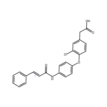 O=C(O)Cc1ccc(Oc2ccc(NC(=O)/C=C/c3ccccc3)cc2)c(Cl)c1